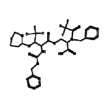 O=C(NC(C(=O)OCC(C(=O)O)N(Cc1ccccc1)C(=O)C(F)(F)F)C(OC1CCCCO1)C(F)(F)F)OCc1ccccc1